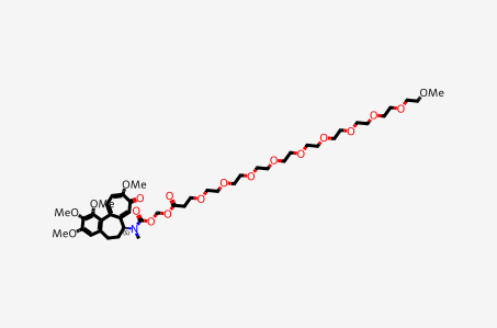 COCCOCCOCCOCCOCCOCCOCCOCCOCCOCCC(=O)OCOC(=O)N(C)[C@H]1CCc2cc(OC)c(OC)c(OC)c2-c2ccc(OC)c(=O)cc21